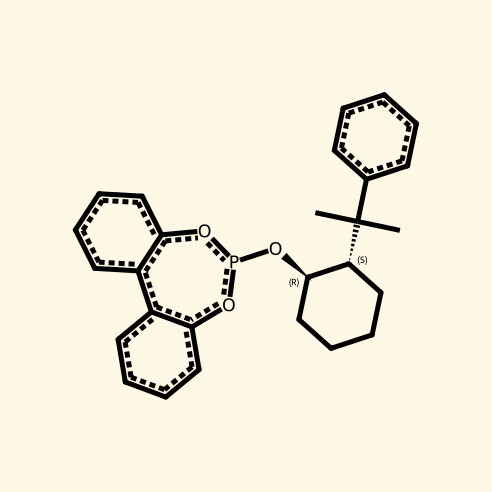 CC(C)(c1ccccc1)[C@@H]1CCCC[C@H]1Op1oc2ccccc2c2ccccc2o1